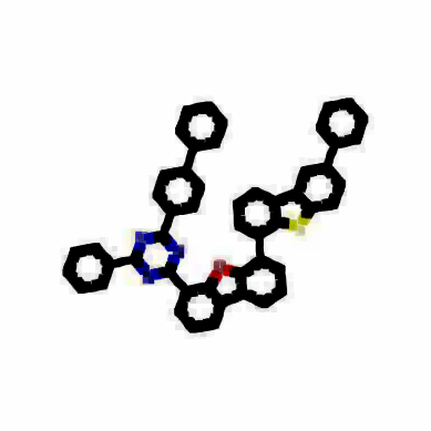 c1ccc(-c2ccc(-c3nc(-c4ccccc4)nc(-c4cccc5c4oc4c(-c6cccc7c6sc6ccc(-c8ccccc8)cc67)cccc45)n3)cc2)cc1